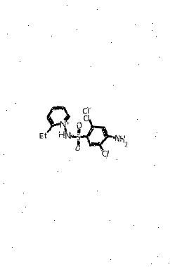 CCc1cccc[n+]1NS(=O)(=O)c1cc(Cl)c(N)cc1Cl.[Cl-]